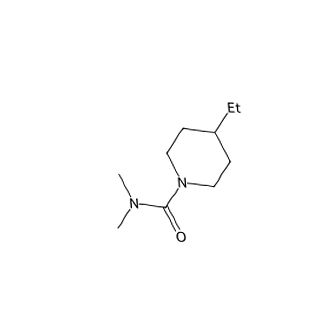 [CH2]CC1CCN(C(=O)N(C)C)CC1